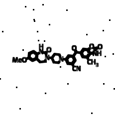 COc1ccc2c(c1)CCN(C1CCN(c3cc(C#N)cc(C(=O)c4cc(C)c5[nH]c(=O)oc5c4)c3)CC1)C(=O)N2